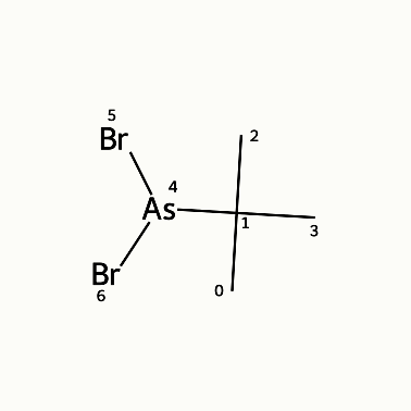 CC(C)(C)[As](Br)Br